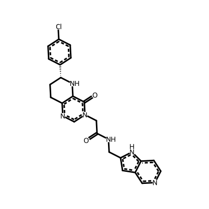 O=C(Cn1cnc2c(c1=O)N[C@@H](c1ccc(Cl)cc1)CC2)NCc1cc2cnccc2[nH]1